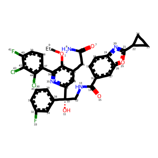 CCOc1c(CC(N)=O)cc([C@@](O)(CNC(=O)c2ccc3nc(C4CC4)oc3c2)c2cccc(F)c2)nc1-c1ccc(F)c(Cl)c1Cl